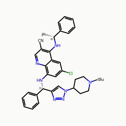 CC(C)[C@@H](Nc1c(C#N)cnc2c(N[C@@H](c3ccccc3)c3cn(C4CCN(C(C)(C)C)CC4)nn3)cc(Cl)cc12)c1ccccc1